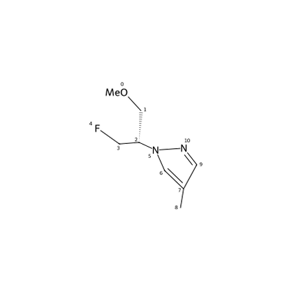 COC[C@@H](CF)n1cc(C)cn1